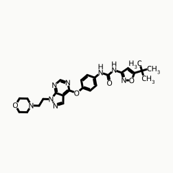 CC(C)(C)c1cc(NC(=O)Nc2ccc(Oc3ncnc4c3cnn4CCN3CCOCC3)cc2)no1